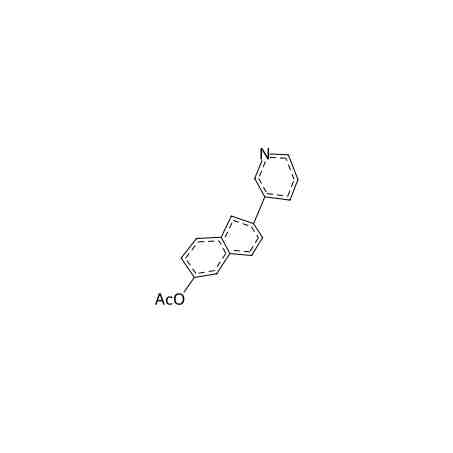 CC(=O)Oc1ccc2cc(-c3cccnc3)ccc2c1